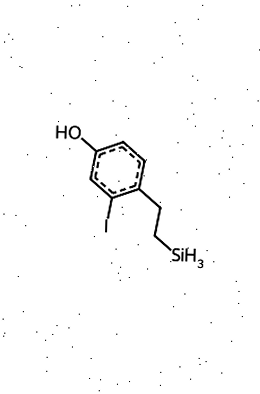 Oc1ccc(CC[SiH3])c(I)c1